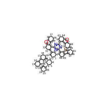 c1cc(-c2ccc3c(c2)C2(c4ccccc4-c4ccccc42)c2ccccc2-3)cc(-c2ccc3oc4ccccc4c3c2-c2nc(-c3cccc4c3sc3ccccc34)nc(-c3cccc4oc5ccccc5c34)n2)c1